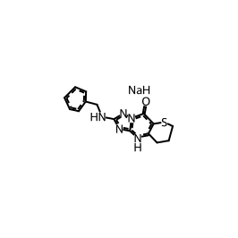 O=c1c2c([nH]c3nc(NCc4ccccc4)nn13)CCCS2.[NaH]